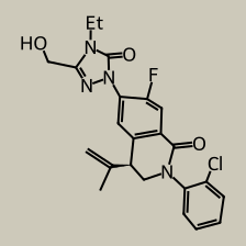 C=C(C)[C@@H]1CN(c2ccccc2Cl)C(=O)c2cc(F)c(-n3nc(CO)n(CC)c3=O)cc21